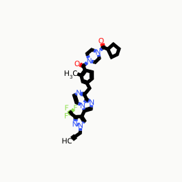 C#CCn1cc(-c2cnc3c(Cc4ccc(C(=O)N5CCN(C(=O)C6CCCC6)CC5)c(C)c4)nccn23)c(C(F)(F)F)n1